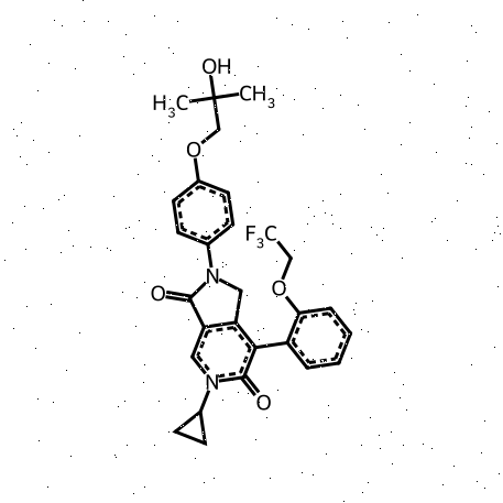 CC(C)(O)COc1ccc(N2Cc3c(cn(C4CC4)c(=O)c3-c3ccccc3OCC(F)(F)F)C2=O)cc1